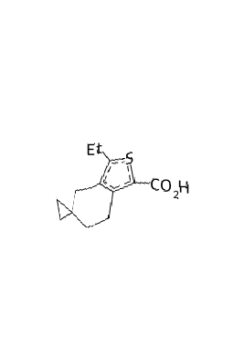 CCc1sc(C(=O)O)c2c1CC1(CC2)CC1